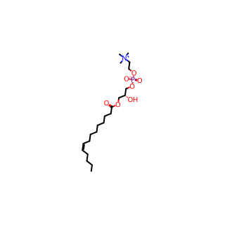 CCCC/C=C\CCCCCCCC(=O)OC[C@@H](O)COP(=O)([O-])OCC[N+](C)(C)C